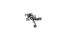 O=P(O)(O)C(F)(F)c1ccc(CSCCCc2ccccc2)cc1Br.[NaH].[NaH]